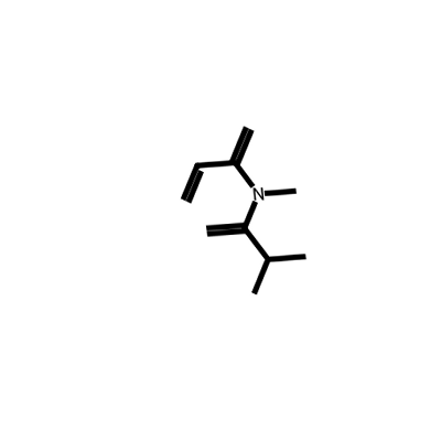 C=CC(=C)N(C)C(=C)C(C)C